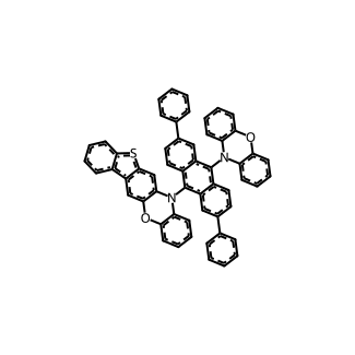 c1ccc(-c2ccc3c(N4c5ccccc5Oc5cc6c(cc54)sc4ccccc46)c4cc(-c5ccccc5)ccc4c(N4c5ccccc5Oc5ccccc54)c3c2)cc1